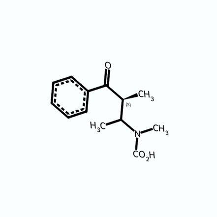 CC([C@H](C)C(=O)c1ccccc1)N(C)C(=O)O